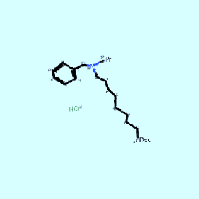 CCCCCCCCCCCCCCCCCCN(Cc1ccccc1)C(C)C.Cl